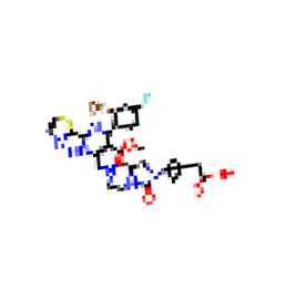 COC(=O)C1=C(CN2CCN3C(=O)N(C45CC(CC(=O)O)(C4)C5)CC3C2)NC(c2nccs2)=NC1c1ccc(F)cc1Br